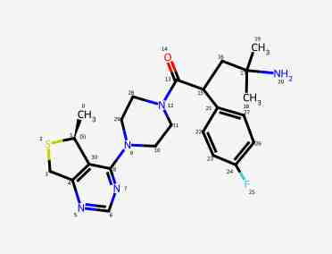 C[C@@H]1SCc2ncnc(N3CCN(C(=O)C(CC(C)(C)N)c4ccc(F)cc4)CC3)c21